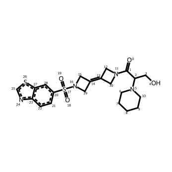 O=C(C(CO)N1CCCCC1)N1CC(=C2CN(S(=O)(=O)c3ccc4ncsc4c3)C2)C1